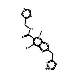 CCc1c(C(=O)NCc2cscn2)n(C)c2nc(Cc3cc[nH]n3)sc12